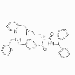 O=C(NC(c1ccccc1)c1ccccc1)[C@@H](CCCNCc1ccccn1)C(=O)c1ccc(CNCc2ccccn2)cc1